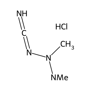 CNN(C)N=C=N.Cl